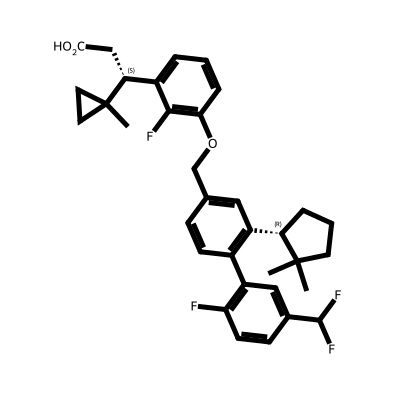 CC1(C)CCC[C@H]1c1cc(COc2cccc([C@@H](CC(=O)O)C3(C)CC3)c2F)ccc1-c1cc(C(F)F)ccc1F